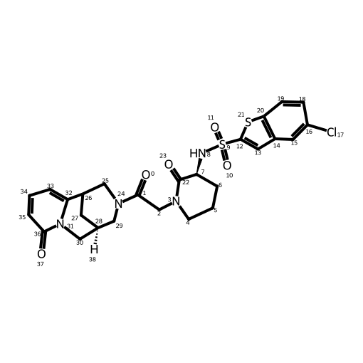 O=C(CN1CCC[C@H](NS(=O)(=O)c2cc3cc(Cl)ccc3s2)C1=O)N1CC2C[C@@H](C1)Cn1c2cccc1=O